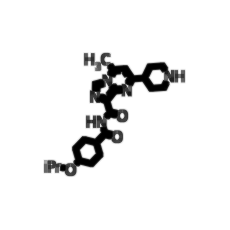 Cc1cc(C2CCNCC2)nc2c(C(=O)NC(=O)C3CCC(OC(C)C)CC3)ncn12